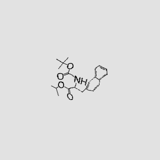 CC(C)OC(=O)C(Cc1ccc2ccccc2c1)NC(=O)OC(C)(C)C